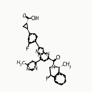 Cc1cc(-c2cc(C(=O)N3CC(F)c4ccccc4[C@H]3C)nc3cc(-c4ccc([C@H]5C[C@@H]5C(=O)O)cc4F)nn23)ncn1